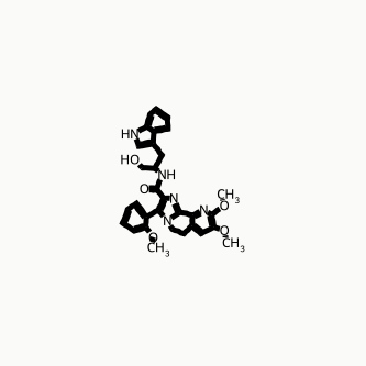 COc1ccccc1-c1c(C(=O)NC(CO)Cc2c[nH]c3ccccc23)nc2n1CCc1cc(OC)c(OC)nc1-2